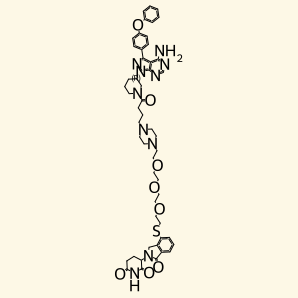 Nc1ncnc2c1c(-c1ccc(Oc3ccccc3)cc1)nn2[C@@H]1CCCN(C(=O)CCCN2CCN(CCOCCOCCOCCSc3cccc4c3CN(C3CCC(=O)NC3=O)C4=O)CC2)C1